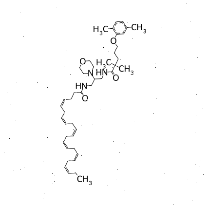 CC/C=C\C/C=C\C/C=C\C/C=C\C/C=C\C/C=C\CCC(=O)NCC(CNC(=O)C(C)(C)CCCOc1cc(C)ccc1C)N1CCOCC1